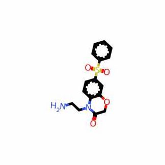 NCCN1C(=O)COc2cc(S(=O)(=O)c3ccccc3)ccc21